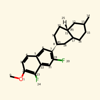 COc1ccc2cc([C@@H]3CC[C@@H]4CC(C)CCC4C3)c(F)cc2c1F